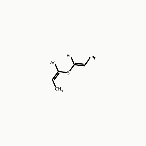 C/C=C(\S/C(Br)=C/CCC)C(C)=O